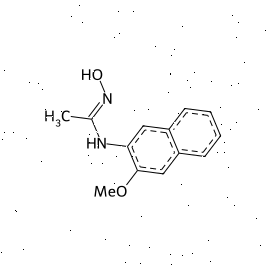 COc1cc2ccccc2cc1NC(C)=NO